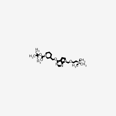 CC(C)(C)OC(=O)N1CCCC(COc2ncnc3c2ccn3COCC[Si](C)(C)C)C1